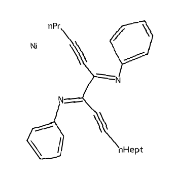 CCCC#CC(=N\c1ccccc1)/C(C#CCCCCCCC)=N/c1ccccc1.[Ni]